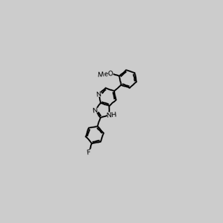 COc1ccccc1-c1cnc2nc(-c3ccc(F)cc3)[nH]c2c1